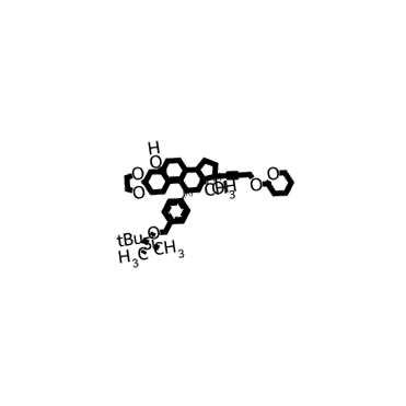 CC(C)(C)[Si](C)(C)OCc1ccc([C@H]2C[C@@]3(C)C(CC[C@@]3(O)C#CCOC3CCCCO3)C3CC[C@@]4(O)CC5(CCC4=C32)OCCO5)cc1